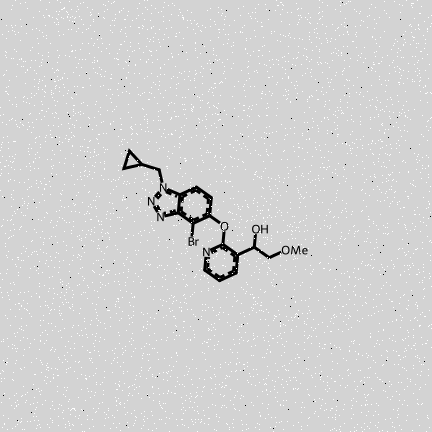 COCC(O)c1cccnc1Oc1ccc2c(nnn2CC2CC2)c1Br